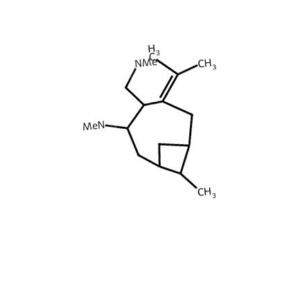 CNCC1C(=C(C)C)CC2CC(CC1NC)C2C